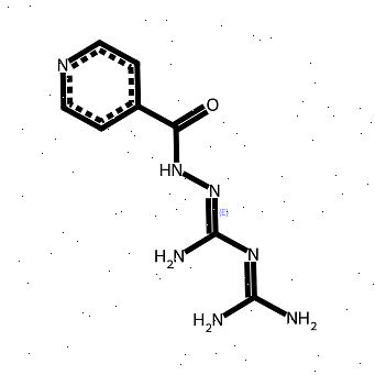 NC(N)=N/C(N)=N/NC(=O)c1ccncc1